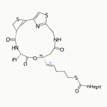 CCCCCCCC(=O)SCCC/C=C/[C@H]1CC(=O)NCc2nc(cs2)C2=CC(CS2)C(=O)NC(C(C)C)C(=O)O1